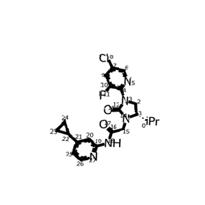 CC(C)[C@H]1CN(c2ncc(Cl)cc2F)C(=O)N1CC(=O)Nc1cc(C2CC2)ccn1